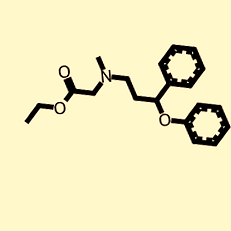 CCOC(=O)CN(C)CCC(Oc1ccccc1)c1ccccc1